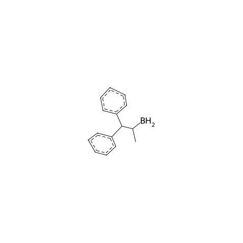 BC(C)C(c1ccccc1)c1ccccc1